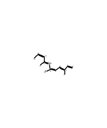 C=C/C(C)=C/C=C(F)\N=C(C)\C=C/C